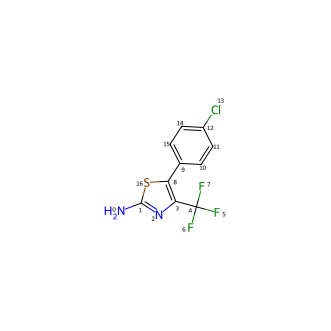 Nc1nc(C(F)(F)F)c(-c2ccc(Cl)cc2)s1